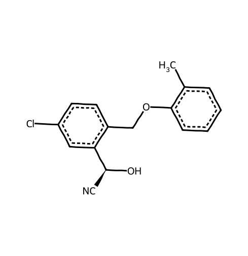 Cc1ccccc1OCc1ccc(Cl)cc1[C@@H](O)C#N